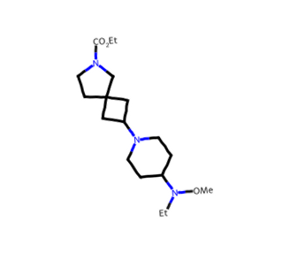 CCOC(=O)N1CCC2(CC(N3CCC(N(CC)OC)CC3)C2)C1